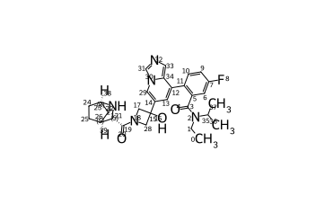 CCN(C(=O)c1cc(F)ccc1-c1cc(C2(O)CN(C(=O)[C@H]3N[C@@H]4CC[C@H]3C4)C2)cn2cncc12)C(C)C